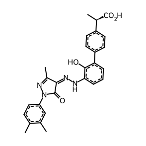 CC1=NN(c2ccc(C)c(C)c2)C(=O)C1=NNc1cccc(-c2ccc([C@@H](C)C(=O)O)cc2)c1O